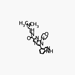 CN(C)CCCNC(=O)c1cn2cc(-c3cccc4[nH]ncc34)nc(N3CCOCC3)c2n1